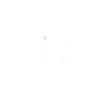 Nn1c2ccc1cc1nc(c3c4[nH]c(cc5nc(c2)C=C5)cc4C=C3)C=C1